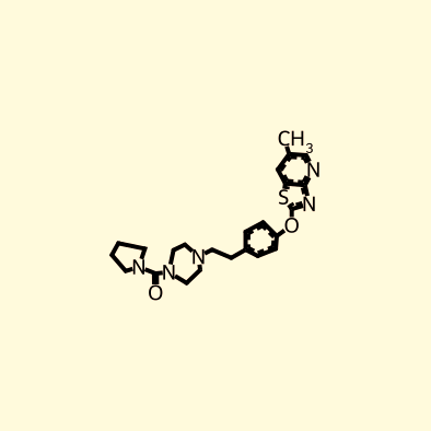 Cc1cnc2nc(Oc3ccc(CCN4CCN(C(=O)N5CCCC5)CC4)cc3)sc2c1